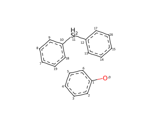 [O]c1ccccc1.c1ccc([SiH2]c2ccccc2)cc1